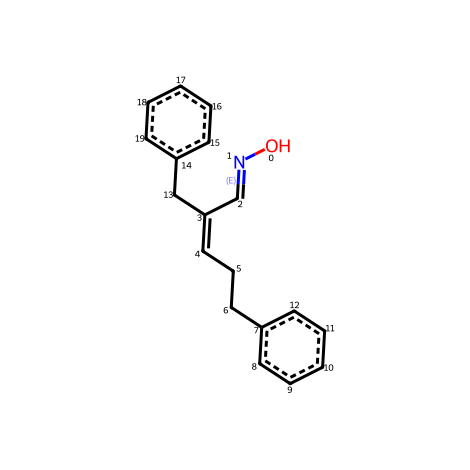 O/N=C/C(=CCCc1ccccc1)Cc1ccccc1